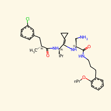 CCCOc1ccccc1CCCNC(=O)[C@H](CN)NC(=C1CC1)[C@H](NC(=O)[C@H](C)Cc1cccc(Cl)c1)C(C)C